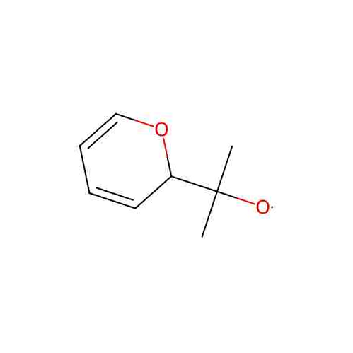 CC(C)([O])C1C=CC=CO1